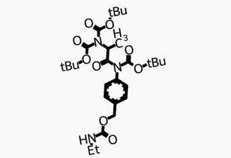 CCNC(=O)OCc1ccc(N(C(=O)OC(C)(C)C)C(=O)C(C)N(C(=O)OC(C)(C)C)C(=O)OC(C)(C)C)cc1